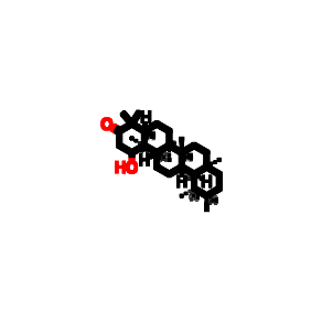 C[C@@H]1[C@H]2[C@H]3CC[C@@H]4[C@@]5(C)C(O)CC(=O)C(C)(C)[C@@H]5CC[C@@]4(C)[C@]3(C)CC[C@@]2(C)CC[C@H]1C